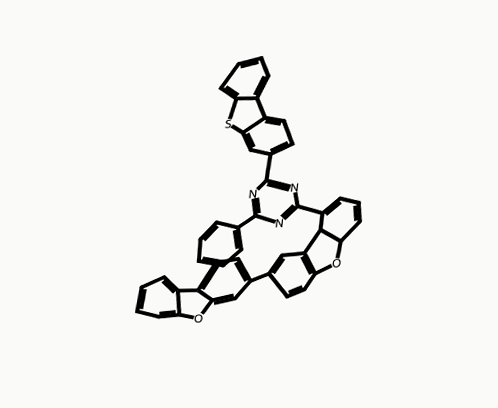 C1=CC2Oc3ccc(-c4ccc5c(c4)oc4ccccc45)cc3C2C(c2nc(-c3ccccc3)nc(-c3ccc4c(c3)sc3ccccc34)n2)=C1